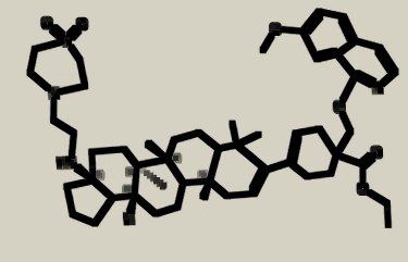 CCOC(=O)C1(COc2nccc3ccc(OC)cc23)CC=C(C2=CC[C@@]3(C)C(CC[C@]4(C)C3CC[C@@H]3C5CCC[C@]5(NCCN5CCS(=O)(=O)CC5)CC[C@]34C)C2(C)C)CC1